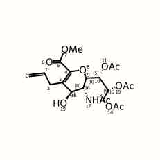 C=CCC1=C(C(=O)OC)O[C@@H]([C@H](OC(C)=O)[C@@H](COC(C)=O)OC(C)=O)[C@H](NC(C)=O)[C@H]1O